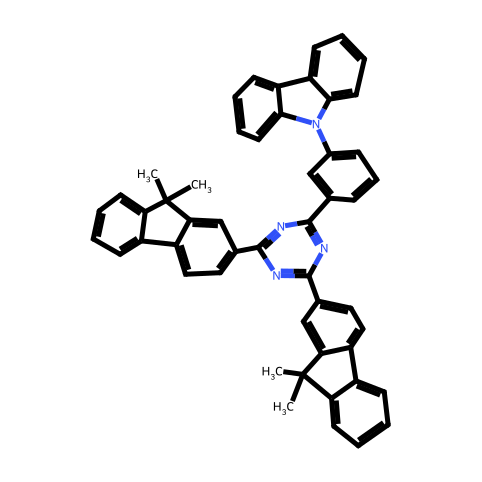 CC1(C)c2ccccc2-c2ccc(-c3nc(-c4cccc(-n5c6ccccc6c6ccccc65)c4)nc(-c4ccc5c(c4)C(C)(C)c4ccccc4-5)n3)cc21